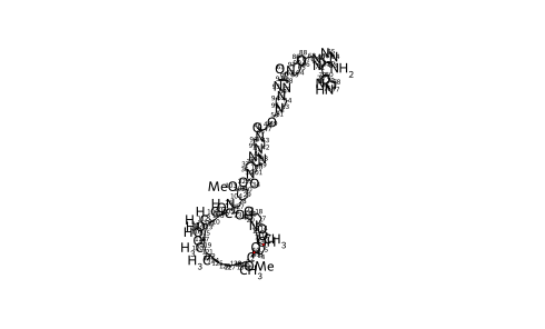 CO[C@H]1C[C@@H]2CC[C@@H](C)[C@@](O)(O2)C(=O)C(=O)N2CCCC[C@H]2C(=O)O[C@H]([C@H](N)C[C@@H]2CC[C@@H](OC(=O)N3CCc4nc(N5CCN(C(=O)CCOCCN6CCN(c7ncc(C(=O)N8CCc9cc(Cn%10nc(-c%11cnc%12[nH]ccc%12c%11)c%11c(N)ncnc%11%10)ccc9C8)cn7)CC6)CC5)ncc4C3)[C@H](OC)C2)CC(=O)[C@H](C)/C=C(\C)[C@@H](O)[C@@H](O)C(=O)[C@H](C)C[C@H](C)/C=C/C=C/C=C/1C